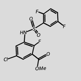 COC(=O)c1cc(Cl)cc(NS(=O)(=O)c2cc(F)ccc2F)c1F